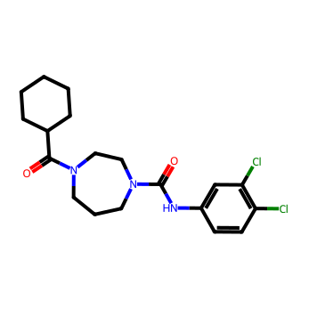 O=C(Nc1ccc(Cl)c(Cl)c1)N1CCCN(C(=O)C2CCCCC2)CC1